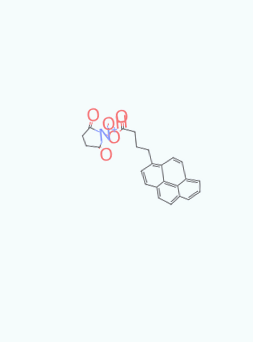 O=C(CCCc1ccc2ccc3cccc4ccc1c2c34)O[N+]1(O)C(=O)CCC1=O